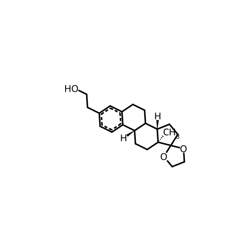 C[C@]12CC[C@@H]3c4ccc(CCO)cc4CCC3[C@@H]1CCC21OCCO1